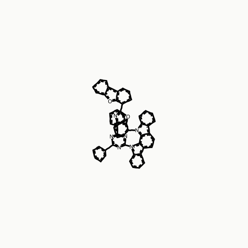 c1ccc(-c2nc(-c3ccccc3)nc(-n3c4ccccc4c4ccc5c6ccccc6n(-c6cccc7nc(-c8cccc9c8oc8ccccc89)oc67)c5c43)n2)cc1